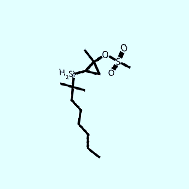 CCCCCCC(C)(C)[SiH2]C1CC1(C)OS(C)(=O)=O